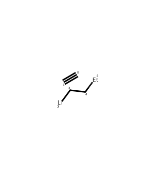 C#C.[Li][CH2]CCC